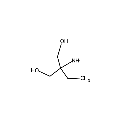 CCC([NH])(CO)CO